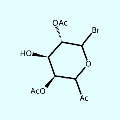 CC(=O)O[C@@H]1C(Br)OC(C(C)=O)[C@@H](OC(C)=O)[C@H]1O